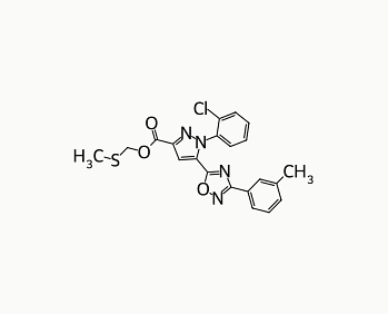 CSCOC(=O)c1cc(-c2nc(-c3cccc(C)c3)no2)n(-c2ccccc2Cl)n1